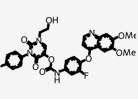 COc1cc2nccc(Oc3ccc(NC(=O)Oc4cn(CCO)c(=O)n(-c5ccc(F)cc5)c4=O)cc3F)c2cc1OC